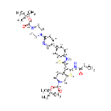 C=CC(=O)Nc1sc2c(c1-c1nc3ccc(-c4ccc(N5CCN(C(=O)OC(C)(C)C)CC5)nc4)cc3s1)CCN(C(=O)OC(C)(C)C)C2